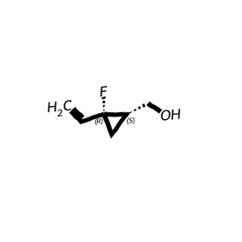 C=C[C@]1(F)C[C@H]1CO